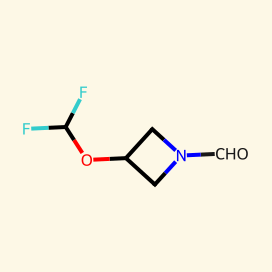 O=CN1CC(OC(F)F)C1